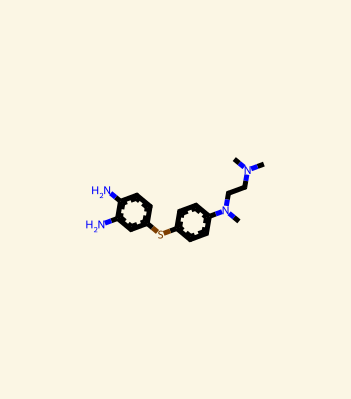 CN(C)CCN(C)c1ccc(Sc2ccc(N)c(N)c2)cc1